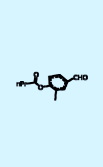 [CH2]CCC(=O)Oc1ccc(C=O)cc1C